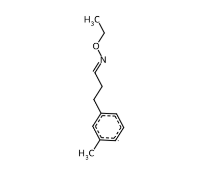 CCON=CCCc1cc[c]c(C)c1